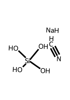 C#N.O[Si](O)(O)O.[NaH]